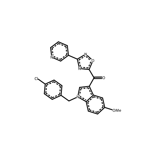 COc1ccc2c(c1)c(C(=O)c1nc(-c3cccnc3)no1)cn2Cc1ccc(Cl)cc1